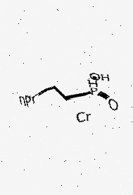 CCCCC[PH](=O)O.[Cr]